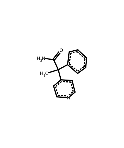 CC(C(N)=O)(c1ccccc1)c1ccncc1